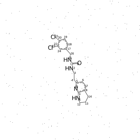 O=C(NCCc1ccc2c(n1)NCCC2)NCc1ccc(Cl)c(Cl)c1